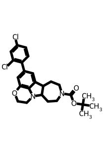 CC(C)(C)OC(=O)N1CCC2c3cc(-c4ccc(Cl)cc4Cl)cc4c3N(CCO4)C2CC1